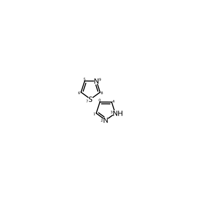 c1cn[nH]c1.c1cscn1